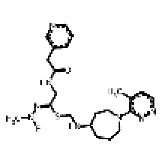 Cc1ccnnc1N1CCCC(NCS/C(CNC(=O)Cc2cccnc2)=N\N(C)F)CC1